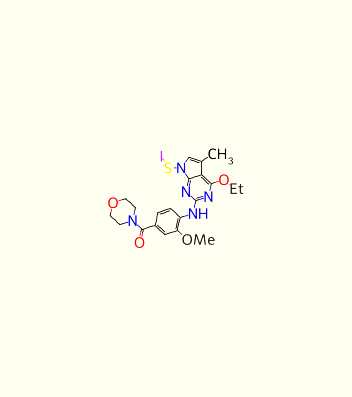 CCOc1nc(Nc2ccc(C(=O)N3CCOCC3)cc2OC)nc2c1c(C)cn2SI